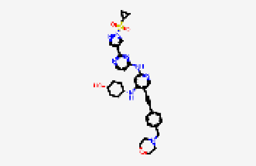 O=S(=O)(C1CC1)n1cc(-c2nccc(Nc3cc(N[C@H]4CC[C@@H](O)CC4)c(C#Cc4ccc(CN5CCOCC5)cc4)cn3)n2)cn1